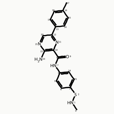 CNSc1ccc(NC(=O)c2nc(-c3ccc(C)cc3)cnc2N)cc1